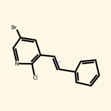 Clc1ncc(Br)cc1/C=C/c1ccccc1